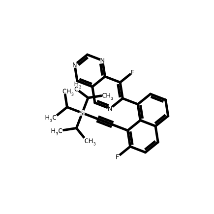 CC(C)[Si](C#Cc1c(F)ccc2cccc(-c3ncc4cncnc4c3F)c12)(C(C)C)C(C)C